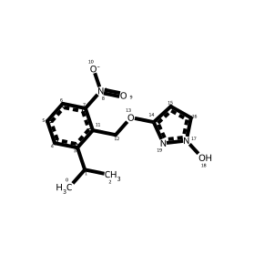 CC(C)c1cccc([N+](=O)[O-])c1COc1ccn(O)n1